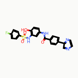 O=C(Nc1ccc(O)c(NS(=O)(=O)c2ccc(F)cc2)c1)c1ccc(-c2cnccn2)cc1